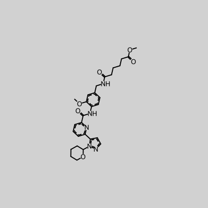 COC(=O)CCCCC(=O)NCc1ccc(NC(=O)c2cccc(-c3ccnn3C3CCCCO3)n2)c(OC)c1